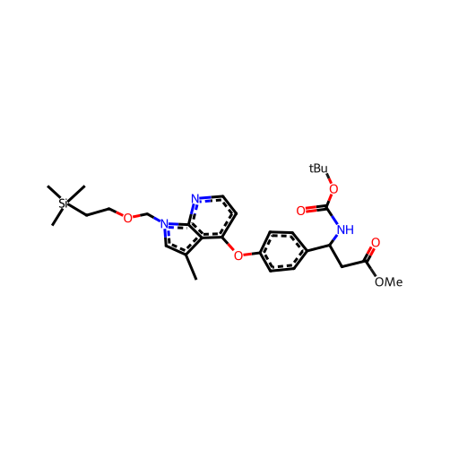 COC(=O)CC(NC(=O)OC(C)(C)C)c1ccc(Oc2ccnc3c2c(C)cn3COCC[Si](C)(C)C)cc1